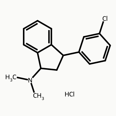 CN(C)C1CC(c2cccc(Cl)c2)c2ccccc21.Cl